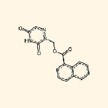 O=C(OCn1ncc(=O)[nH]c1=O)c1cccc2ccccc12